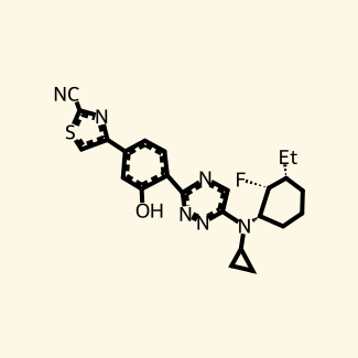 CC[C@@H]1CCC[C@H](N(c2cnc(-c3ccc(-c4csc(C#N)n4)cc3O)nn2)C2CC2)[C@@H]1F